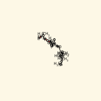 Cc1ncsc1-c1ccc([C@H](C)NC(=O)[C@@H]2C[C@@H](O)CN2C(=O)C(NC(=O)CCCCCC(=O)N2CCN(CC[C@H](CSc3ccccc3)Nc3ccc(S(=O)(=O)NC(=O)c4ccc(N5CCN(CC6=C(C78CC(C(F)(F)F)(C7)C8)CC(C)(C)CC6)CC5)cc4)cc3S(=O)(=O)C(F)(F)F)CC2)C(C)(C)C)cc1